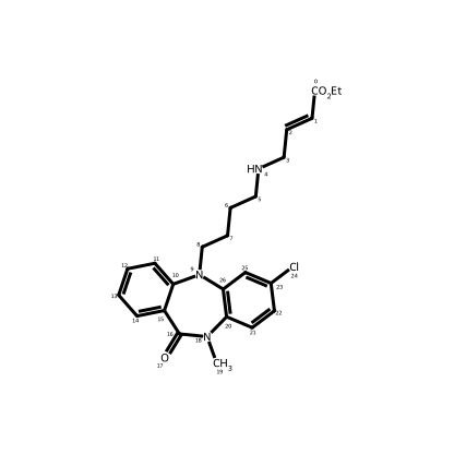 CCOC(=O)/C=C/CNCCCCN1c2ccccc2C(=O)N(C)c2ccc(Cl)cc21